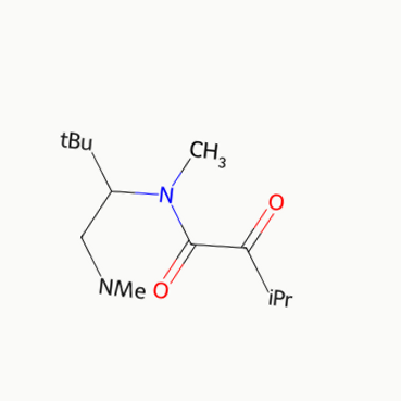 CNCC(N(C)C(=O)C(=O)C(C)C)C(C)(C)C